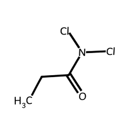 CCC(=O)N(Cl)Cl